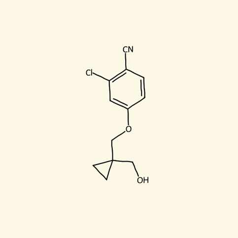 N#Cc1ccc(OCC2(CO)CC2)cc1Cl